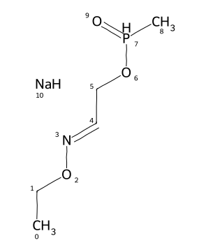 CCON=CCO[PH](C)=O.[NaH]